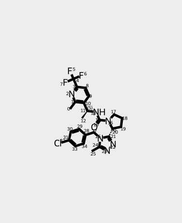 Cc1nc(C(F)(F)F)ccc1[C@H](C)NC(=O)N1CCC[C@@H]1c1nnc(C)n1Cc1ccc(Cl)cc1